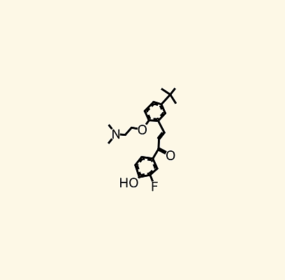 CN(C)CCOc1ccc(C(C)(C)C)cc1C=CC(=O)c1ccc(O)c(F)c1